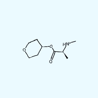 CN[C@@H](C)C(=O)OC1CCOCC1